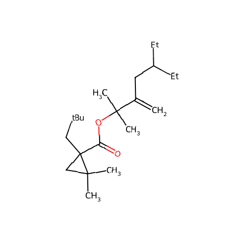 C=C(CC(CC)CC)C(C)(C)OC(=O)C1(CC(C)(C)C)CC1(C)C